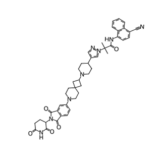 CC(C)(C(=O)Nc1ccc(C#N)c2ccccc12)n1cc(C2CCN(C3CC4(CCN(c5ccc6c(c5)C(=O)N(C5CCC(=O)NC5=O)C6=O)CC4)C3)CC2)cn1